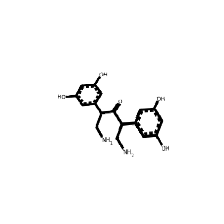 NCC(C(=O)C(CN)c1cc(O)cc(O)c1)c1cc(O)cc(O)c1